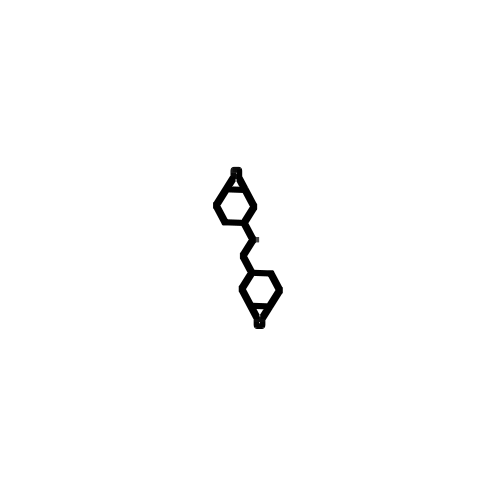 [CH](CC1CCC2OC2C1)C1CCC2OC2C1